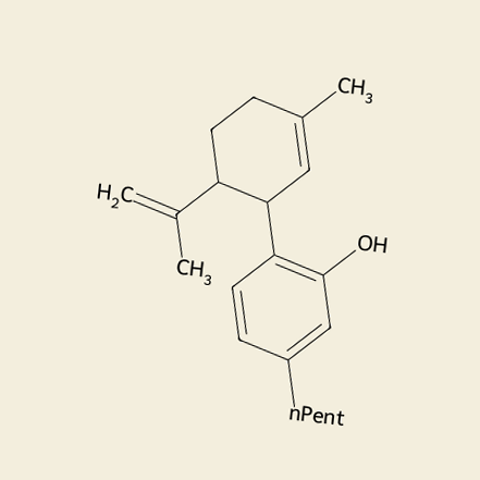 C=C(C)C1CCC(C)=CC1c1ccc(CCCCC)cc1O